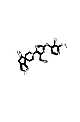 Nc1nccc(Sc2cnc(N3CCC4(CC3)c3n[nH]cc3C[C@H]4N)c(CO)n2)c1Cl